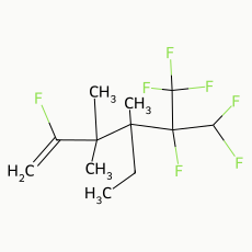 C=C(F)C(C)(C)C(C)(CC)C(F)(C(F)F)C(F)(F)F